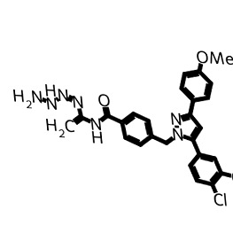 C=C(/N=N\NN)NC(=O)c1ccc(Cn2nc(-c3ccc(OC)cc3)cc2-c2ccc(Cl)c(Cl)c2)cc1